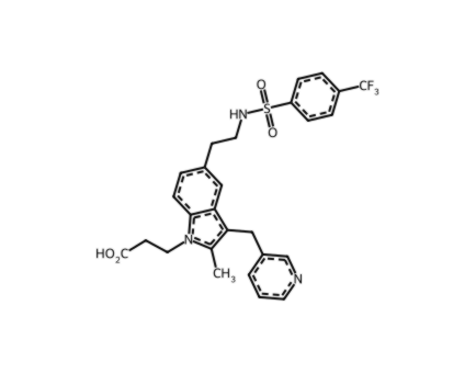 Cc1c(Cc2cccnc2)c2cc(CCNS(=O)(=O)c3ccc(C(F)(F)F)cc3)ccc2n1CCC(=O)O